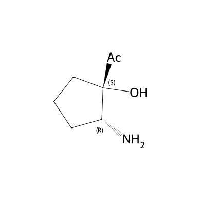 CC(=O)[C@]1(O)CCC[C@H]1N